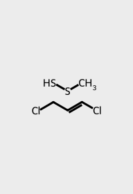 CSS.ClC=CCCl